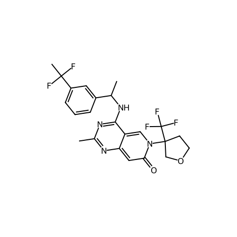 Cc1nc(NC(C)c2cccc(C(C)(F)F)c2)c2cn(C3(C(F)(F)F)CCOC3)c(=O)cc2n1